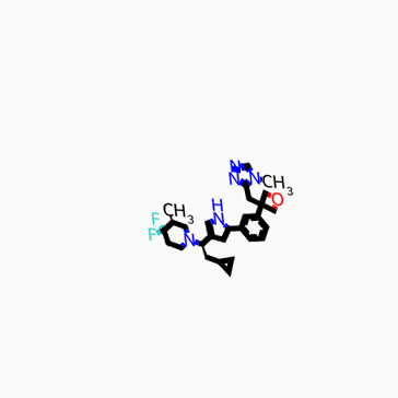 C[C@@H]1CN([C@H](CC2CC2)C2=CNC(c3cccc(C4(Cc5nncn5C)COC4)c3)C2)CCC1(F)F